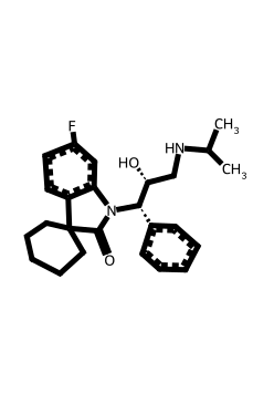 CC(C)NC[C@@H](O)[C@H](c1ccccc1)N1C(=O)C2(CCCCC2)c2ccc(F)cc21